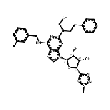 Cn1nnc([C@H]2O[C@@H](n3cnc4c(NCc5cccc(I)c5)nc(N(CO)CCc5ccccc5)nc43)[C@H](O)[C@@H]2O)n1